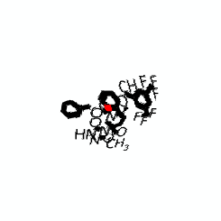 COC(=O)[C@]1(n2cn[nH]c2=O)CC[C@@](CO[C@H](C)c2cc(C(F)(F)F)cc(C(F)(F)F)c2)(c2ccccc2)N(C(=O)OCc2ccccc2)C1